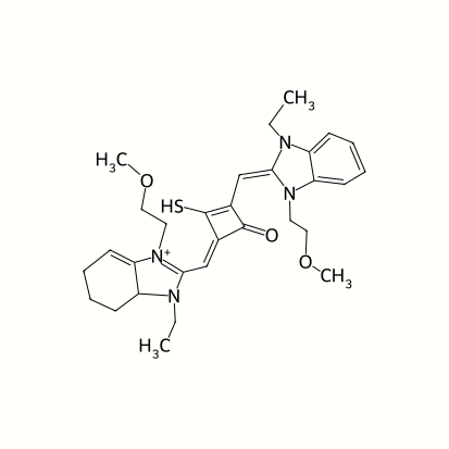 CCN1/C(=C/C2=C(S)C(=C\C3=[N+](CCOC)C4=CCCCC4N3CC)/C2=O)N(CCOC)c2ccccc21